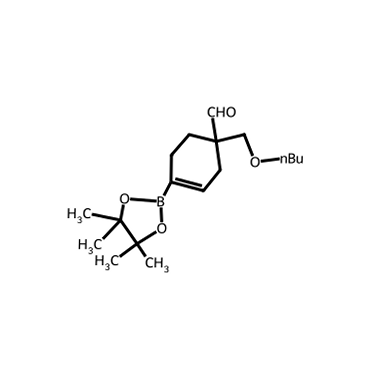 CCCCOCC1(C=O)CC=C(B2OC(C)(C)C(C)(C)O2)CC1